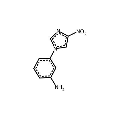 Nc1cccc(-n2cnc([N+](=O)[O-])c2)c1